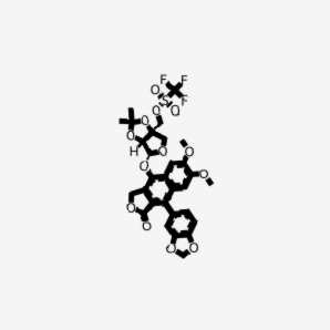 COc1cc2c(O[C@H]3OC[C@@]4(COS(=O)(=O)C(F)(F)F)OC(C)(C)O[C@@H]34)c3c(c(-c4ccc5c(c4)OCO5)c2cc1OC)C(=O)OC3